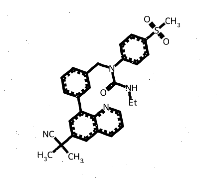 CCNC(=O)N(Cc1cccc(-c2cc(C(C)(C)C#N)cc3cccnc23)c1)c1ccc(S(C)(=O)=O)cc1